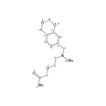 CC(C)(C)C(=O)COCCN(Cc1ccc2c(c1)OCOC2)C(C)(C)C